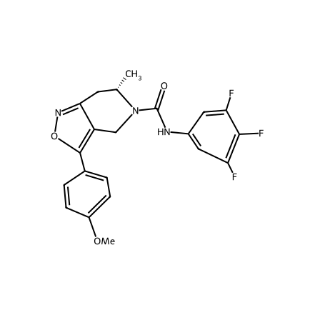 COc1ccc(-c2onc3c2CN(C(=O)Nc2cc(F)c(F)c(F)c2)[C@@H](C)C3)cc1